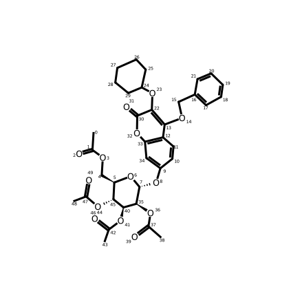 CC(=O)OC[C@H]1O[C@H](Oc2ccc3c(OCc4ccccc4)c(OC4CCCCC4)c(=O)oc3c2)[C@@H](OC(C)=O)[C@@H](OC(C)=O)[C@@H]1OC(C)=O